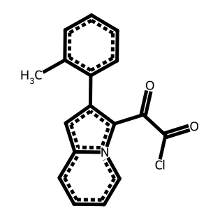 Cc1ccccc1-c1cc2ccccn2c1C(=O)C(=O)Cl